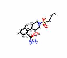 CCCS(=O)(=O)N1CCC(c2c(C)cccc2C(N)=O)CC1